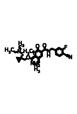 CCN(C)SC1(CO/C(N)=c2/c(=C\N)cc(C(=O)NCc3ccc(C#N)c(F)c3)c(=O)n2C)CC1